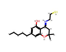 CCCCCc1cc(O)c2c(c1)OC(C)(C)CC2=NCCS